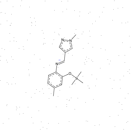 Cc1ccc(/N=C/c2cnn(C)c2)c(O[Si](C)(C)C)c1